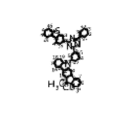 CC1(C)c2ccccc2-c2cc3c(cc21)c1ccccc1n3-c1cccc(-c2nc(-c3ccccc3)nc(-c3ccc4c(c3)sc3ccccc34)n2)c1